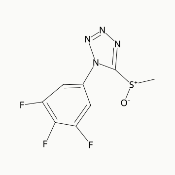 C[S+]([O-])c1nnnn1-c1cc(F)c(F)c(F)c1